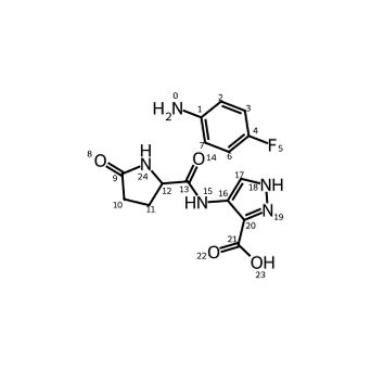 Nc1ccc(F)cc1.O=C1CCC(C(=O)Nc2c[nH]nc2C(=O)O)N1